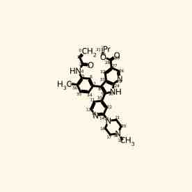 C=CC(=O)Nc1cc(-c2c(-c3ccnc(N4CCN(C)CC4)c3)[nH]c3ncc(C(=O)OC(C)C)cc23)ccc1C